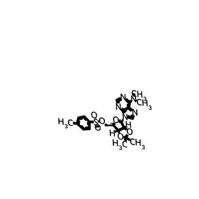 Cc1ccc(S(=O)(=O)OC[C@H]2O[C@@H](n3cnc4c(N(C)C)ncnc43)[C@@H]3OC(C)(C)O[C@@H]32)cc1